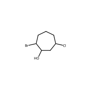 OC1CC(Cl)CCCC1Br